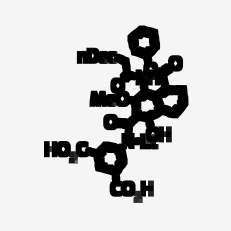 CCCCCCCCCCCC(=O)Nc1c(OC)c(C(=O)N(CC)c2cc(C(=O)O)cc(C(=O)O)c2)c(O)c2cccc(C(=O)Oc3ccccc3)c12